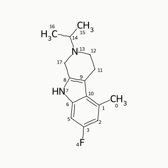 Cc1cc(F)cc2[nH]c3c(c12)CCN(C(C)C)C3